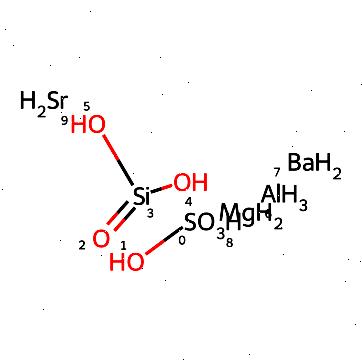 O=S(=O)(O)O.O=[Si](O)O.[AlH3].[BaH2].[MgH2].[SrH2]